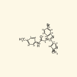 Cc1ccc(NC(=O)Cn2c(-c3cnn(C)c3)nc3cc(Br)ccc32)cc1